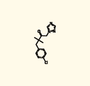 CC(C)(Cc1ccc(Cl)cc1)C(=O)Cn1cncn1